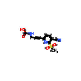 CS(=O)(=O)c1nc(C#CCNC(=O)O)ccc1C#N